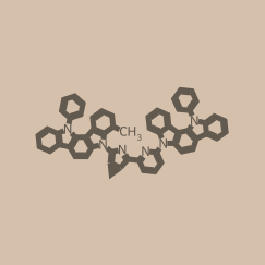 CC1CC=Cc2c1n(-c1nc(-c3cccc(-n4c5ccccc5c5c4ccc4c6ccccc6n(-c6ccccc6)c45)n3)c3cc1-3)c1ccc3c4c(n(-c5ccccc5)c3c21)C=CCC4